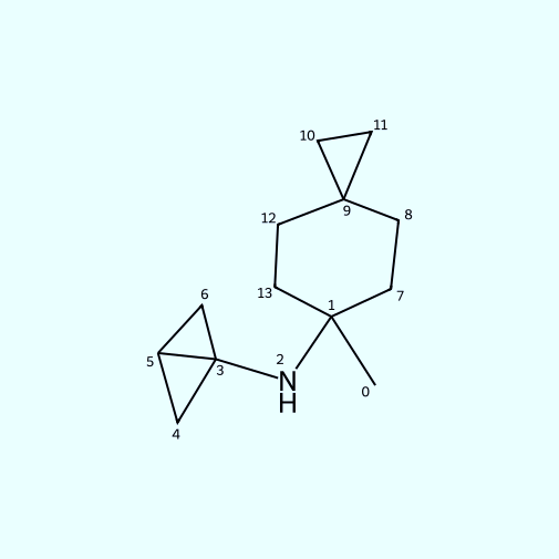 CC1(NC23CC2C3)CCC2(CC2)CC1